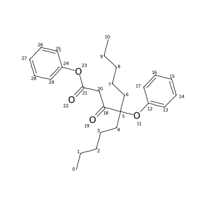 CCCCCC(CCCCC)(Oc1ccccc1)C(=O)CC(=O)Oc1[c]cccc1